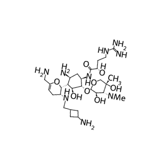 CN[C@@H]1[C@@H](O)[C@@H](O[C@H]2[C@H](NC(=O)[C@@H](O)CCNC(=N)N)C[C@H](N)C([C@H]3OC(CN)=CC[C@H]3NCC3CC(N)C3)[C@@H]2O)OC[C@]1(C)O